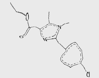 CCOC(=O)c1nc(-c2ccc(Cl)cc2)n(C)c1C